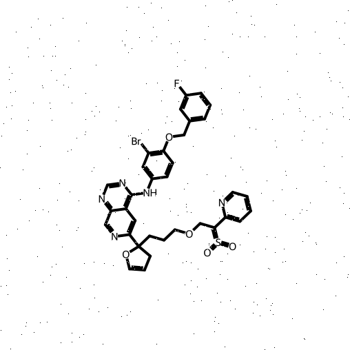 O=S(=O)=C(COCCCC1(c2cc3c(Nc4ccc(OCc5cccc(F)c5)c(Br)c4)ncnc3cn2)CC=CO1)c1ccccn1